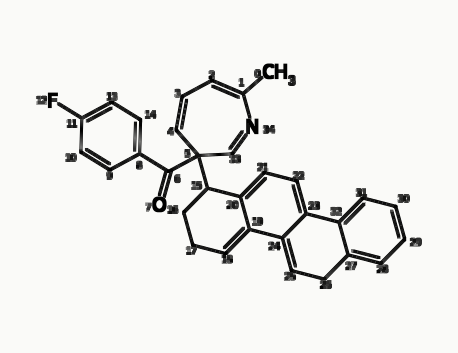 CC1=CC=CC(C(=O)c2ccc(F)cc2)(C2CCC=c3c2ccc2c3=CCc3ccccc3-2)C=N1